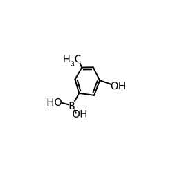 Cc1cc(O)cc(B(O)O)c1